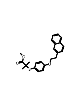 COC(=O)C(C)(C)Sc1ccc(OCCc2ccc3ccccc3c2)cc1